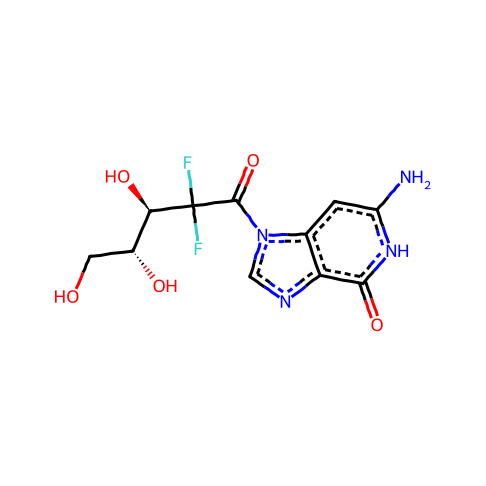 Nc1cc2c(ncn2C(=O)C(F)(F)[C@H](O)[C@H](O)CO)c(=O)[nH]1